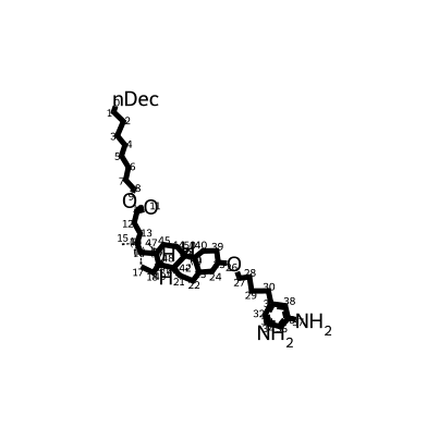 CCCCCCCCCCCCCCCCCCOC(=O)CC[C@@H](C)[C@H]1CC[C@H]2[C@@H]3CCC4CC(OCCCCc5cc(N)cc(N)c5)CC[C@]4(C)[C@H]3CC[C@]12C